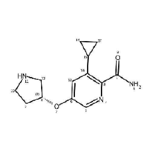 NC(=O)c1ncc(O[C@@H]2CCNC2)cc1C1CC1